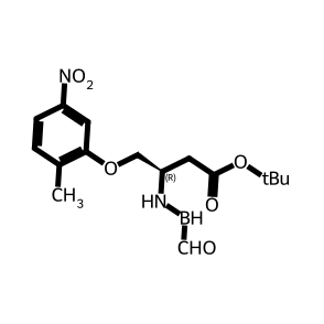 Cc1ccc([N+](=O)[O-])cc1OC[C@@H](CC(=O)OC(C)(C)C)NBC=O